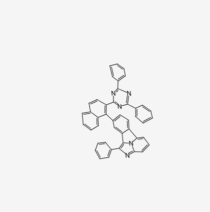 c1ccc(-c2nc(-c3ccccc3)nc(-c3ccc4ccccc4c3-c3ccc4c(c3)c3c(-c5ccccc5)nc5cccc4n53)n2)cc1